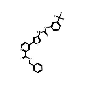 O=C(NCc1ccccc1)c1cc(-c2cc(NC(=S)Nc3cccc(C(F)(F)F)c3)cs2)ccn1